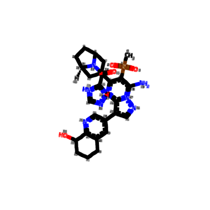 CS(=O)(=O)c1c(C2CC3CC[C@H](C2)N3C(=O)c2nnc[nH]2)nc2c(-c3cnc4c(c3)CCCC4O)cnn2c1N